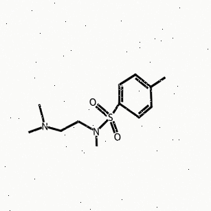 Cc1ccc(S(=O)(=O)N(C)CCN(C)C)cc1